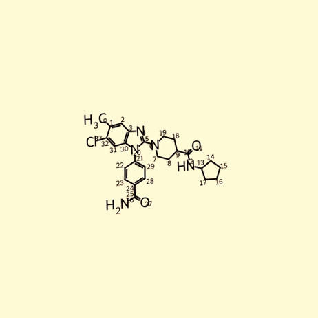 Cc1cc2nc(N3CCC(C(=O)NC4CCCC4)CC3)n(-c3ccc(C(N)=O)cc3)c2cc1Cl